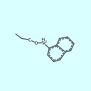 CCCO[SiH2]c1cccc2ccccc12